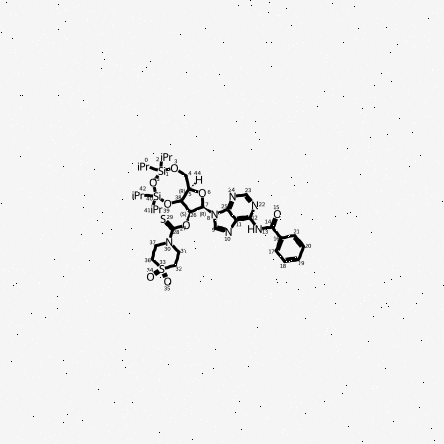 CC(C)[Si]1(C(C)C)OC[C@H]2O[C@@H](n3cnc4c(NC(=O)c5ccccc5)ncnc43)[C@@H](OC(=S)N3CCS(=O)(=O)CC3)C2O[Si](C(C)C)(C(C)C)O1